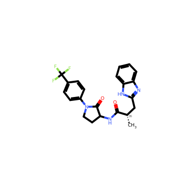 C[C@@H](Cc1nc2ccccc2[nH]1)C(=O)NC1CCN(c2ccc(C(F)(F)F)cc2)C1=O